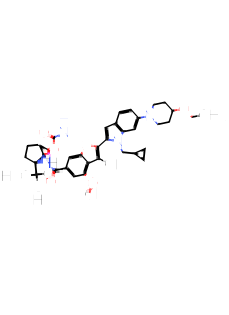 CCOC1CCN(c2ccc3cc(-c4oc5cc(C(=O)N6CC7CCC6(C(C)(C)C)[C@@H]7OC(N)=O)cc(OC)c5c4C)n(CC4CC4)c3c2)CC1